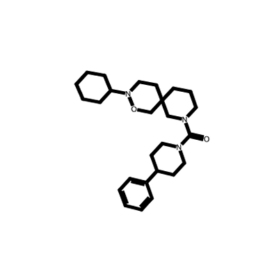 O=C(N1CCC(c2ccccc2)CC1)N1CCCC2(CCN(C3CCCCC3)OC2)C1